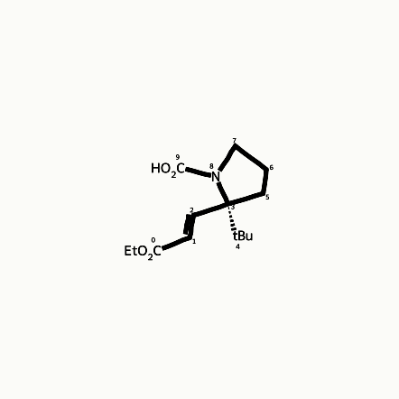 CCOC(=O)/C=C/[C@]1(C(C)(C)C)CCCN1C(=O)O